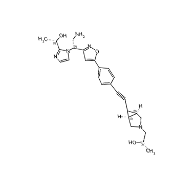 C[C@H](O)CN1C[C@@H]2C(C#Cc3ccc(-c4cc([C@@H](CN)n5ccnc5[C@H](C)O)no4)cc3)[C@@H]2C1